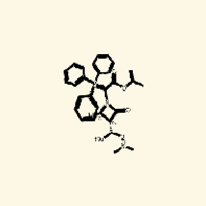 C=C(C)OC(=O)C(N1C(=O)[C@H](C(O[SiH](C)C)C(C)(C)C)[C@H]1S)=P(c1ccccc1)(c1ccccc1)c1ccccc1